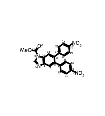 COC(=O)n1cnc2cc(-c3ccc([N+](=O)[O-])cc3)c(-c3ccc([N+](=O)[O-])cc3)cc21